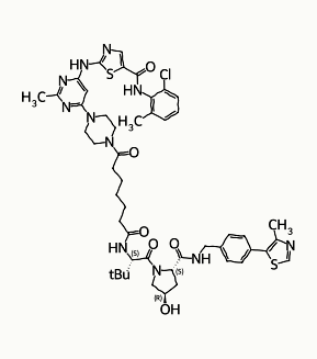 Cc1nc(Nc2ncc(C(=O)Nc3c(C)cccc3Cl)s2)cc(N2CCN(C(=O)CCCCCC(=O)N[C@H](C(=O)N3C[C@H](O)C[C@H]3C(=O)NCc3ccc(-c4scnc4C)cc3)C(C)(C)C)CC2)n1